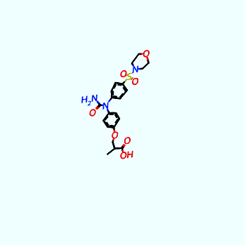 CC(COc1ccc(N(C(N)=O)c2ccc(S(=O)(=O)N3CCOCC3)cc2)cc1)C(=O)O